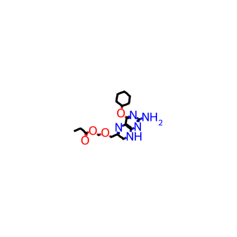 CCC(=O)OCOCC1=Nc2c(nc(N)nc2OC2CCCCC2)NC1